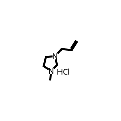 C=CCN1CCN(C)C1.Cl